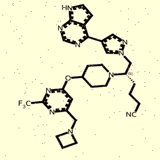 N#CCCC[C@@H](Cn1cc(-c2ncnc3[nH]ccc23)cn1)N1CCC(Oc2cc(CN3CCC3)nc(C(F)(F)F)n2)CC1